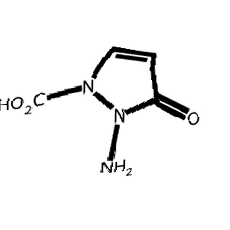 Nn1c(=O)ccn1C(=O)O